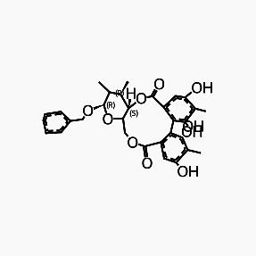 Cc1c(O)cc2c(c1O)-c1c(cc(O)c(C)c1O)C(=O)O[C@@H]1C(COC2=O)O[C@@H](OCc2ccccc2)C(C)[C@H]1C